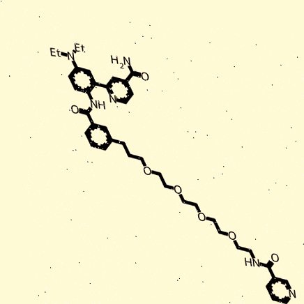 CCN(CC)c1ccc(NC(=O)c2cccc(CCCOCCOCCOCCOCCNC(=O)c3cccnc3)c2)c(-c2cc(C(N)=O)ccn2)c1